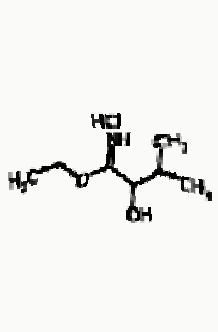 CCOC(=N)C(O)C(C)C.Cl